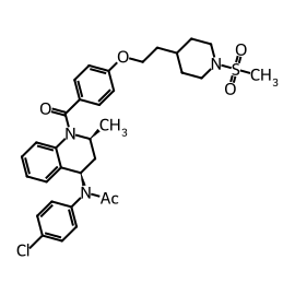 CC(=O)N(c1ccc(Cl)cc1)[C@@H]1C[C@H](C)N(C(=O)c2ccc(OCCC3CCN(S(C)(=O)=O)CC3)cc2)c2ccccc21